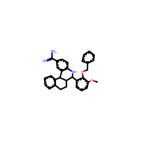 COc1cccc(C2Nc3ccc(C(=N)N)cc3C3c4ccccc4CCC23)c1OCc1ccccc1